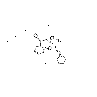 CC1(CCCN2CCCC2)CC(=O)c2ccccc2O1